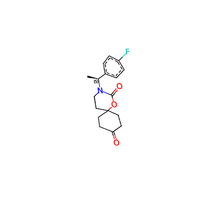 C[C@@H](c1ccc(F)cc1)N1CCC2(CCC(=O)CC2)OC1=O